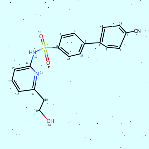 N#Cc1ccc(-c2ccc(S(=O)(=O)Nc3cccc(CCO)n3)cc2)cc1